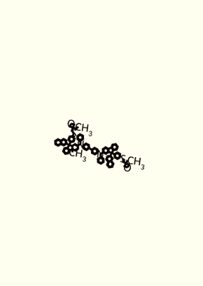 CCC1(CSc2ccc(C3(c4ccc5ccccc5c4)c4ccccc4-c4ccc(N(c5ccccc5)c5ccc(-c6ccc(N(C7=CC8C(C)(C=C7)c7ccccc7C8(c7ccc(SCC8(CC)COC8)cc7)c7ccc8ccccc8c7)c7ccccc7)cc6)cc5)cc43)cc2)COC1